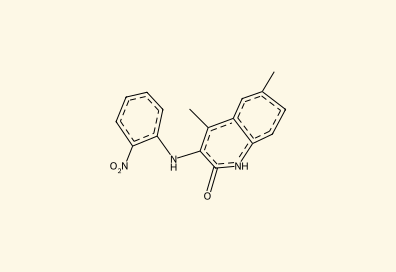 Cc1ccc2[nH]c(=O)c(Nc3ccccc3[N+](=O)[O-])c(C)c2c1